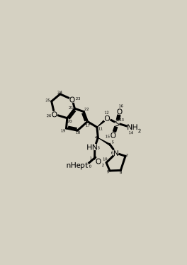 CCCCCCCC(=O)N[C@H](CN1CCCC1)[C@H](OS(N)(=O)=O)c1ccc2c(c1)OCCO2